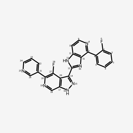 Fc1ccccc1-c1nccc2[nH]c(-c3n[nH]c4cnc(-c5cccnc5)c(F)c34)nc12